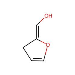 OC=C1CC=[C]O1